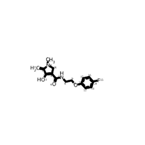 C=C1C(O)=C(C(=O)NCCOc2ccc(F)cc2)CN1C